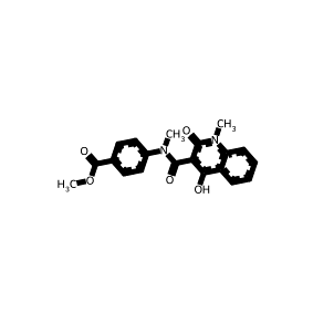 COC(=O)c1ccc(N(C)C(=O)c2c(O)c3ccccc3n(C)c2=O)cc1